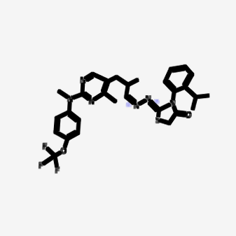 Cc1nc(N(C)c2ccc(OC(F)(F)F)cc2)ncc1CC(C)/C=N\N=C1/SCC(=O)N1c1ccccc1C(C)C